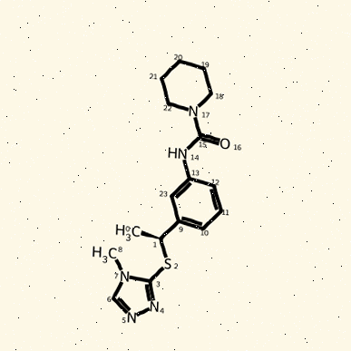 C[C@H](Sc1nncn1C)c1cccc(NC(=O)N2CCCCC2)c1